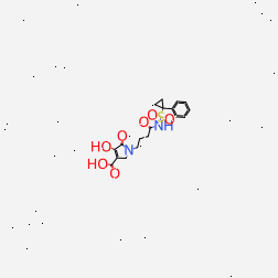 O=C(CCCN1CC(C(=O)O)=C(O)C1=O)NS(=O)(=O)C1(c2ccccc2)CC1